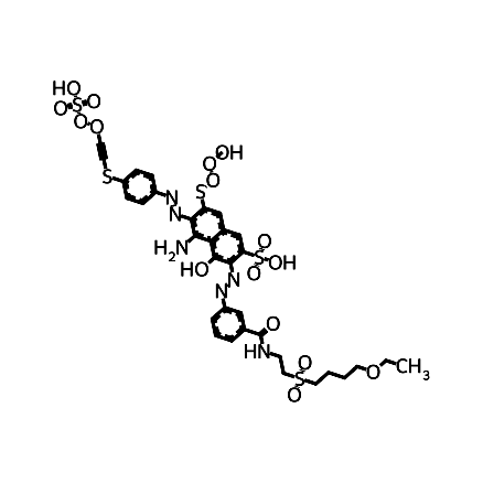 CCOCCCCS(=O)(=O)CCNC(=O)c1cccc(N=Nc2c(S(=O)(=O)O)cc3cc(SOOO)c(N=Nc4ccc(SC#COOS(=O)(=O)O)cc4)c(N)c3c2O)c1